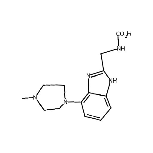 CN1CCN(c2cccc3[nH]c(CNC(=O)O)nc23)CC1